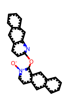 [O-][n+]1ccc2cc3ccccc3cc2c1Oc1ccc2cc3ccccc3cc2n1